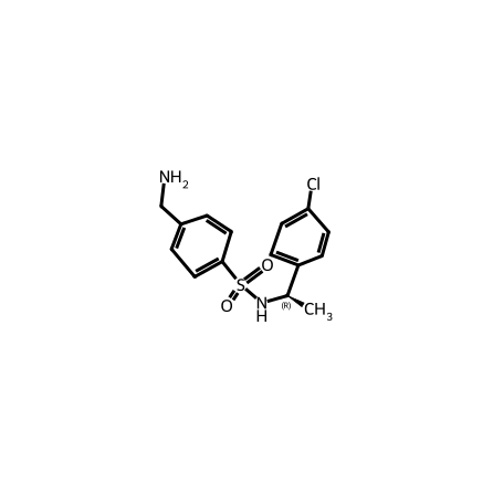 C[C@@H](NS(=O)(=O)c1ccc(CN)cc1)c1ccc(Cl)cc1